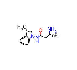 CCCC(N)CC(=O)Nn1cc(C)c2ccccc21